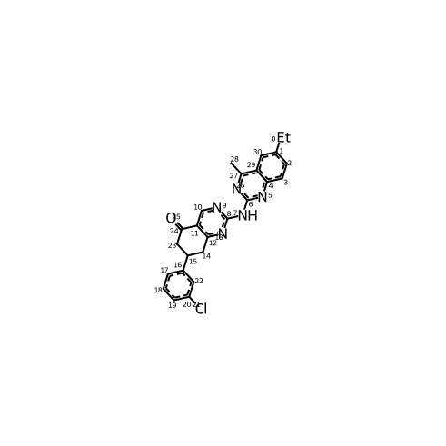 CCc1ccc2nc(Nc3ncc4c(n3)CC(c3cccc(Cl)c3)CC4=O)nc(C)c2c1